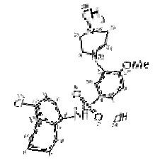 COc1ccc(S(=O)(=O)Nc2ccc(Cl)c3ccccc23)cc1N1CCN(C)CC1.Cl